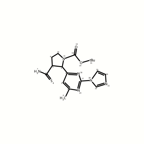 Cc1cc(C2C(C(N)=S)CCN2C(=O)OC(C)(C)C)nc(-n2ccnc2)n1